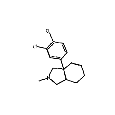 CN1CC2CCCCC2(c2ccc(Cl)c(Cl)c2)C1